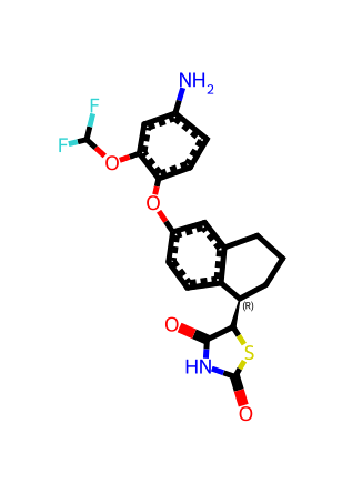 Nc1ccc(Oc2ccc3c(c2)CCC[C@H]3C2SC(=O)NC2=O)c(OC(F)F)c1